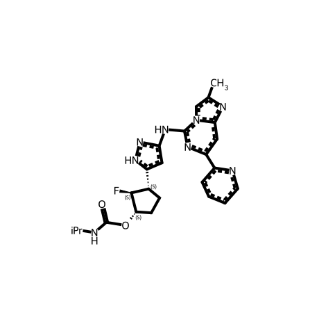 Cc1cn2c(Nc3cc([C@@H]4CC[C@H](OC(=O)NC(C)C)[C@H]4F)[nH]n3)nc(-c3ccccn3)cc2n1